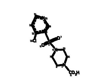 O=C(O)N1CCN(S(=O)(=O)c2cnccc2Cl)CC1